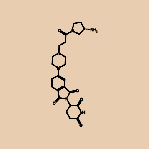 N[C@H]1CCN(C(=O)CCN2CCN(c3ccc4c(c3)C(=O)N(C3CCC(=O)NC3=O)C4=O)CC2)C1